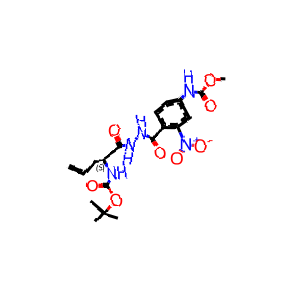 C=CC[C@H](NC(=O)OC(C)(C)C)C(=O)NNC(=O)c1ccc(NC(=O)OC)cc1[N+](=O)[O-]